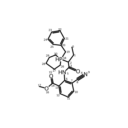 CCC(C(=O)Nc1c(C#N)cccc1C(=O)OC)[PH]1(Cc2ccccc2)CCCCC1